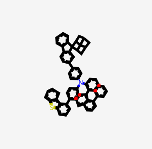 c1ccc(-c2cccc3cccc(-c4ccccc4N(c4ccc(-c5ccc6c(c5)C5(c7ccccc7-6)C6CC7CC8CC5C786)cc4)c4ccc(-c5cccc6sc7ccccc7c56)cc4)c23)cc1